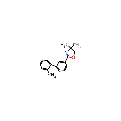 Cc1ccccc1-c1cccc(C2=NC(C)(C)CO2)c1